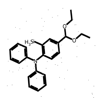 CCOC(OCC)c1ccc(N(c2ccccc2)c2ccccc2)c([SiH3])c1